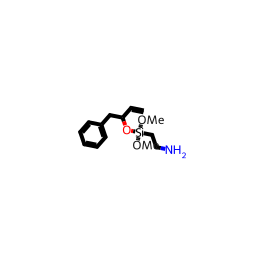 C=CC(Cc1ccccc1)O[Si](CCN)(OC)OC